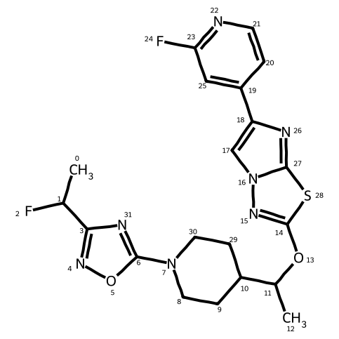 CC(F)c1noc(N2CCC(C(C)Oc3nn4cc(-c5ccnc(F)c5)nc4s3)CC2)n1